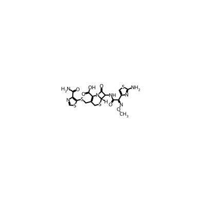 CO/N=C(\C(=O)NC1C(=O)N2C(C(=O)O)=C(CSc3scnc3C(N)=O)CS[C@@H]12)c1csc(N)n1